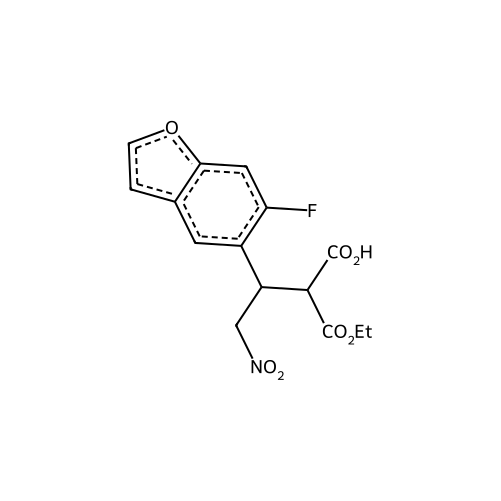 CCOC(=O)C(C(=O)O)C(C[N+](=O)[O-])c1cc2ccoc2cc1F